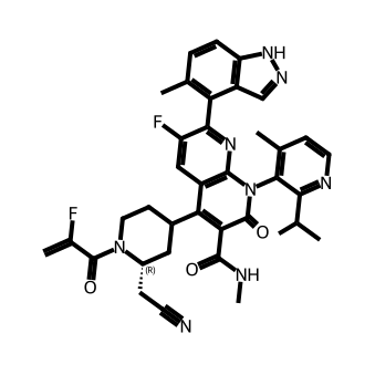 C=C(F)C(=O)N1CCC(c2c(C(=O)NC)c(=O)n(-c3c(C)ccnc3C(C)C)c3nc(-c4c(C)ccc5[nH]ncc45)c(F)cc23)C[C@@H]1CC#N